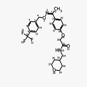 CC(=NOCc1ccc(C(F)(F)F)cc1)c1ccc(OCC(=O)NCC2CCOCC2)cc1